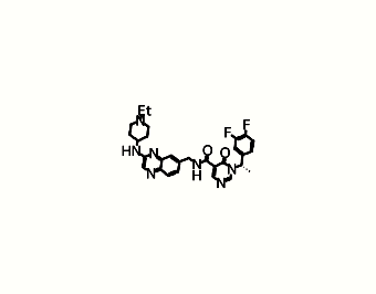 CCN1CCC(Nc2cnc3ccc(CNC(=O)c4cncn([C@@H](C)c5ccc(F)c(F)c5)c4=O)cc3n2)CC1